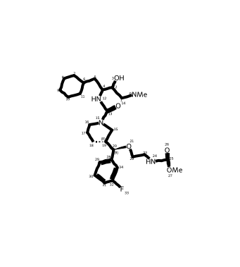 CNCC(O)C(CC1CCCCC1)NC(=O)N1CCC[C@@H]([C@@H](OCCNC(=O)OC)c2cccc(F)c2)C1